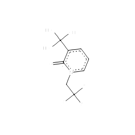 CC(C)(C)c1cccn(CC(F)(F)F)c1=O